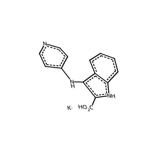 O=C(O)c1[nH]c2ccccc2c1Nc1ccncc1.[K]